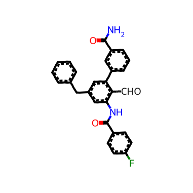 NC(=O)c1cccc(-c2cc(Cc3ccccc3)cc(NC(=O)c3ccc(F)cc3)c2C=O)c1